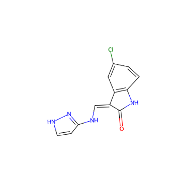 O=C1Nc2ccc(Cl)cc2C1=CNc1cc[nH]n1